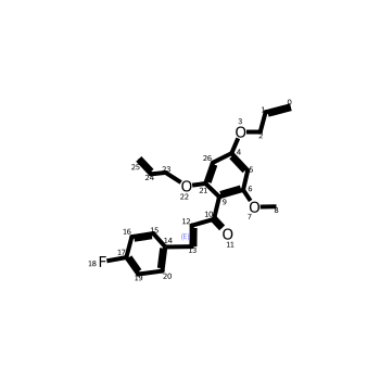 C=CCOc1cc(OC)c(C(=O)/C=C/c2ccc(F)cc2)c(OCC=C)c1